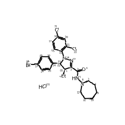 CC[C@@H]1C(C(=O)NN2CCCCCC2)=NN(c2ccc(Cl)cc2Cl)[C@@H]1c1ccc(Br)cc1.Cl